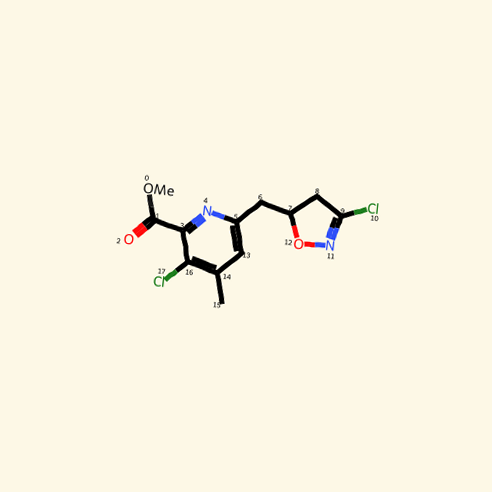 COC(=O)c1nc(CC2CC(Cl)=NO2)cc(C)c1Cl